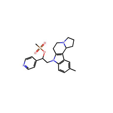 Cc1ccc2c(c1)c1c(n2CC(OS(C)(=O)=O)c2ccncc2)CCN2CCCC12